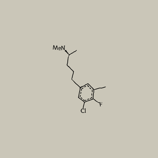 CN[C@@H](C)CCCc1cc(C)c(F)c(Cl)c1